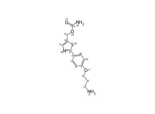 NCCCOc1ccc(-c2ncc(COC(N)=O)s2)cc1